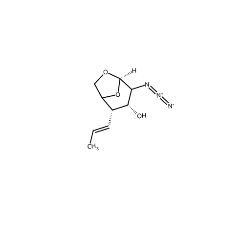 CC=C[C@@H]1C2CO[C@H](O2)C(N=[N+]=[N-])[C@@H]1O